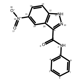 O=C(Nc1ccccc1)c1n[nH]c2ccc([N+](=O)[O-])cc12